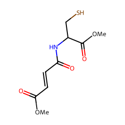 COC(=O)C=CC(=O)NC(CS)C(=O)OC